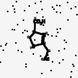 CC(=O)CC1=NC(C(=O)O)CS1